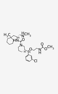 CNC[C@@H](CC1(C)CCCCC1)NC(=O)N1CCC[C@@H]([C@@H](OCCNC(=O)OC)c2cccc(Cl)c2)C1